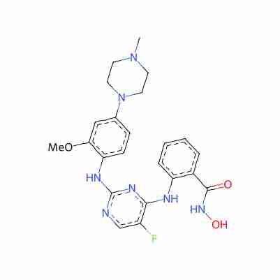 COc1cc(N2CCN(C)CC2)ccc1Nc1ncc(F)c(Nc2ccccc2C(=O)NO)n1